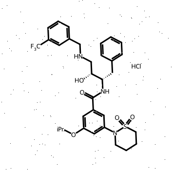 CC(C)Oc1cc(C(=O)N[C@@H](Cc2ccccc2)[C@H](O)CNCc2cccc(C(F)(F)F)c2)cc(N2CCCCS2(=O)=O)c1.Cl